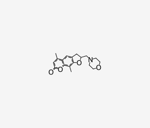 Cc1cc(=O)oc2c(C)c3c(cc12)CC(CN1CCOCC1)O3